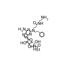 CCC(=O)NC(O)[C@H]1O[C@@H](n2cnc3c(N)nc(N(CCC(=O)NCCN)CCc4ccccc4)nc32)[C@H](O)[C@@H]1O